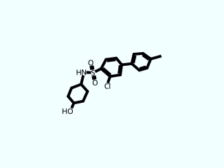 Cc1ccc(-c2ccc(S(=O)(=O)NC3CCC(O)CC3)c(Cl)c2)cc1